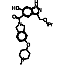 CC(C)OCc1n[nH]c2cc(O)c(C(=O)N3Cc4ccc(OC5CCN(C)CC5)cc4C3)cc12